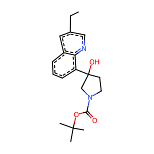 CCc1cnc2c(C3(O)CCN(C(=O)OC(C)(C)C)C3)cccc2c1